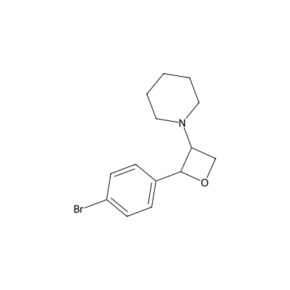 Brc1ccc(C2OCC2N2CCCCC2)cc1